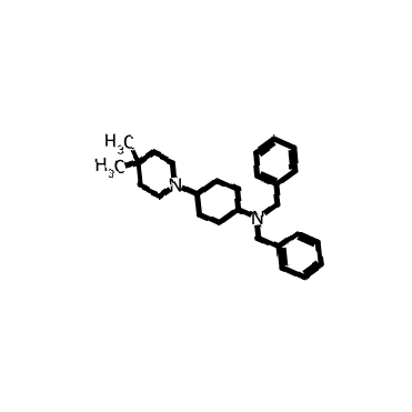 CC1(C)CCN(C2CCC(N(Cc3ccccc3)Cc3ccccc3)CC2)CC1